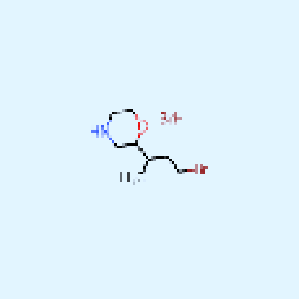 Br.CC(CCBr)C1CNCCO1